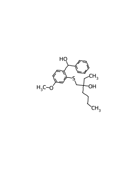 CCCCC(O)(CC)CSc1cc(OC)ccc1C(O)c1ccccc1